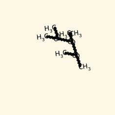 CCCCCCCCOC(CCCCCCCCOC(CCCCN(C)C)OCCCCCCCCC(OCCCCCCC)OCCCCCCC)OCCCCCCC